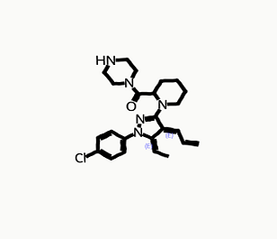 C=C/C=c1/c(N2CCCCC2C(=O)N2CCNCC2)nn(-c2ccc(Cl)cc2)/c1=C/C